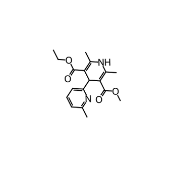 CCOC(=O)C1=C(C)NC(C)=C(C(=O)OC)C1c1cccc(C)n1